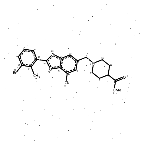 COC(=O)C1CCN(Cc2cc(C#N)c3oc(-c4cccc(Br)c4C)nc3c2)CC1